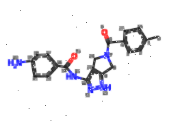 Cc1ccc(C(=O)N2Cc3[nH]nc(NC(=O)c4ccc(N)cc4)c3C2)cc1